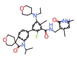 CCN(c1cc(-c2ccc3c(c2)N(C(C)C)C(=O)C32CCOCC2)c(F)c(C(=O)NCc2c(C)cc(C)[nH]c2=O)c1C)C1CCOCC1